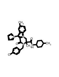 Cc1ccc2c(c1)c(-n1cccc1)c1n2CC(C)(C(=O)NC2CCC(C)CC2)N(Cc2ccc(Cl)cc2)C1=O